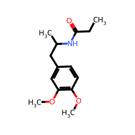 CCC(=O)NC(C)Cc1ccc(OC)c(OC)c1